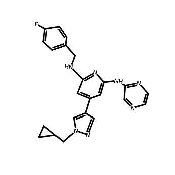 Fc1ccc(CNc2cc(-c3cnn(CC4CC4)c3)cc(Nc3cnccn3)n2)cc1